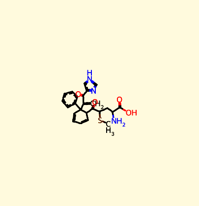 C=C(C(=O)c1c[nH]cn1)C1(c2ccccc2)C=CC=CC1C(=O)C(CC(N)C(=O)O)SC